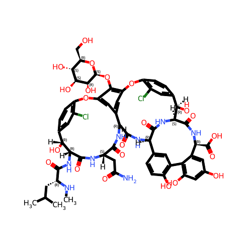 CN[C@H](CC(C)C)C(=O)N[C@H]1C(=O)N[C@@H](CC(N)=O)C(=O)N[C@H]2C(=O)N[C@H]3C(=O)N[C@H](C(=O)N[C@@H](C(=O)O)c4cc(O)cc(O)c4-c4cc3ccc4O)[C@H](O)c3ccc(c(Cl)c3)Oc3cc2cc(c3O[C@@H]2O[C@H](CO)[C@@H](O)[C@H](O)[C@H]2O)Oc2ccc(cc2Cl)[C@H]1O